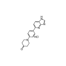 Cl.O=C1CCN(c2ccc(-c3ccc4[nH]cnc4n3)cc2)CC1